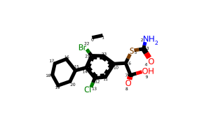 CC.NC(=O)SC(C(=O)O)c1cc(Cl)c(C2CCCCC2)c(Br)c1